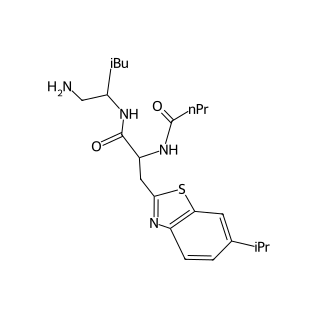 CCCC(=O)NC(Cc1nc2ccc(C(C)C)cc2s1)C(=O)NC(CN)C(C)CC